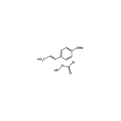 CCCOC(=O)CC.COc1ccc(C=CC(=O)O)cc1